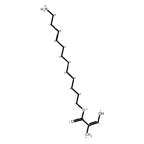 CC(=CO)C(=O)OCCCCCCCCCCCCN